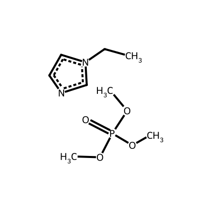 CCn1ccnc1.COP(=O)(OC)OC